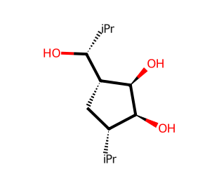 CC(C)[C@@H](O)[C@H]1C[C@@H](C(C)C)[C@H](O)[C@@H]1O